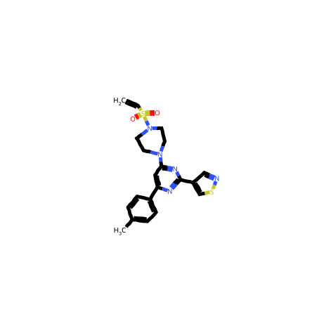 C=CS(=O)(=O)N1CCN(c2cc(-c3ccc(C)cc3)nc(-c3cnsc3)n2)CC1